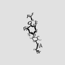 FC(F)=COc1c(F)cc(C2CCC(CCBr)CC2)cc1F